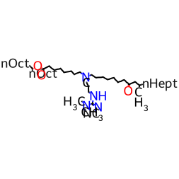 CCCCCCCCC(CCCCCCCC)OC(=O)CCCCCCCN(CCCCCCCC(=O)CC(C)CCCCCCC)CCCNC(=NC#N)N(C)C